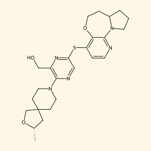 C[C@H]1CC2(CCN(c3ncc(Sc4ccnc5c4OCCC4CCCN54)nc3CO)CC2)CO1